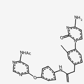 C=C(Cc1ccc(-n2ccc(N)nc2=O)c(C)c1)Nc1ccc(Oc2cc(NC(C)=O)ncn2)cc1